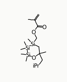 C=C(C)C(=O)OC[Si]1(C)CC(C)(CC(C)C)O[Si](C)(C)[Si]1(C)C